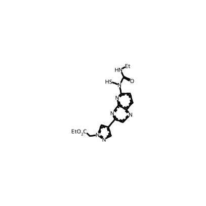 CCNC(=O)N(S)c1ccc2ncc(-c3cnn(CC(=O)OCC)c3)nc2n1